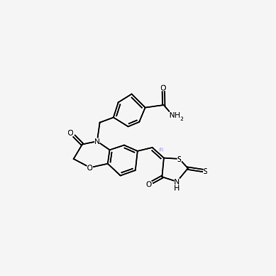 NC(=O)c1ccc(CN2C(=O)COc3ccc(/C=C4/SC(=S)NC4=O)cc32)cc1